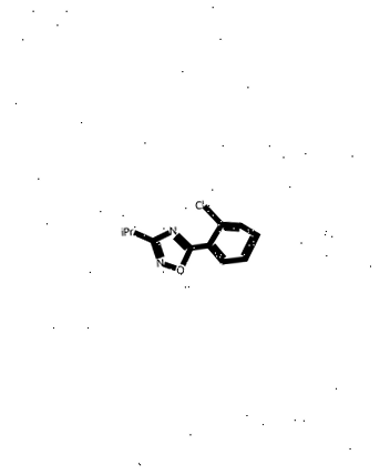 CC(C)c1noc(-c2ccccc2Cl)n1